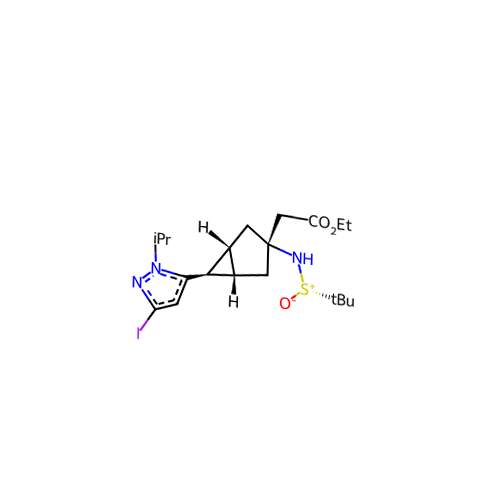 CCOC(=O)C[C@]1(N[S@@+]([O-])C(C)(C)C)C[C@@H]2[C@H](C1)[C@H]2c1cc(I)nn1C(C)C